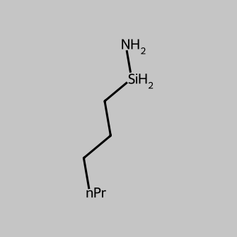 CCCCCC[SiH2]N